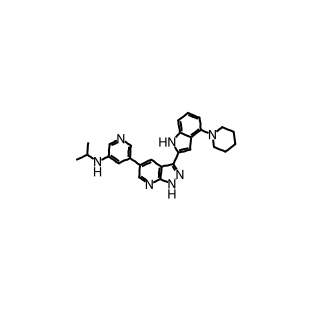 CC(C)Nc1cncc(-c2cnc3[nH]nc(-c4cc5c(N6CCCCC6)cccc5[nH]4)c3c2)c1